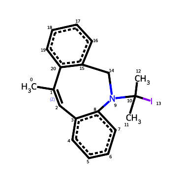 C/C1=C/c2ccccc2N(C(C)(C)I)Cc2ccccc21